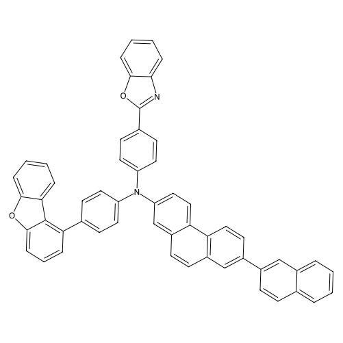 c1ccc2cc(-c3ccc4c(ccc5cc(N(c6ccc(-c7nc8ccccc8o7)cc6)c6ccc(-c7cccc8oc9ccccc9c78)cc6)ccc54)c3)ccc2c1